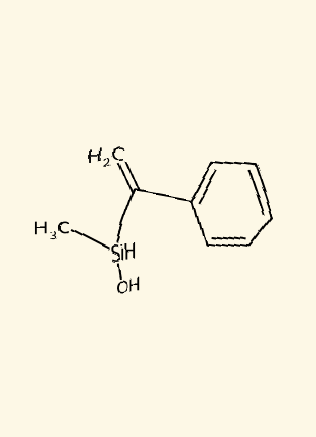 C=C(c1ccccc1)[SiH](C)O